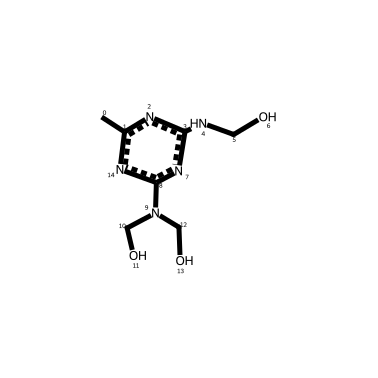 Cc1nc(NCO)nc(N(CO)CO)n1